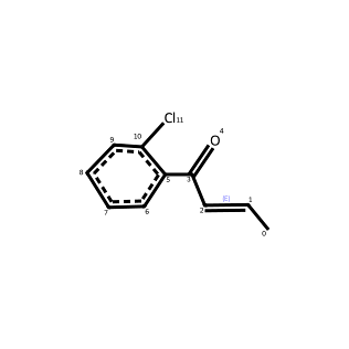 C/C=C/C(=O)c1ccccc1Cl